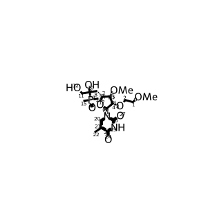 COCCO[C@@H]1[C@H](OC)[C@@H](CC(O)(CO)P(C)(C)=O)O[C@H]1n1cc(C)c(=O)[nH]c1=O